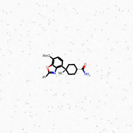 COc1ccc([C@]2(C#N)CC[C@H](C(N)=O)CC2)c2nc(C(C)C)oc12